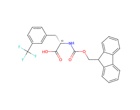 O=C(N[C@@H](Cc1cccc(C(F)(F)F)c1)C(=O)O)OCC1c2ccccc2-c2ccccc21